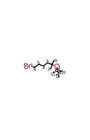 CC(C)(CCCCBr)O[Si](C)(C)C